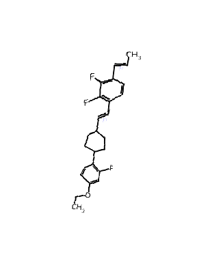 C/C=C/c1ccc(/C=C/C2CCC(c3ccc(OCC)cc3F)CC2)c(F)c1F